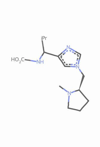 CC(C)C(NC(=O)O)c1cn(C[C@H]2CCCN2C)cn1